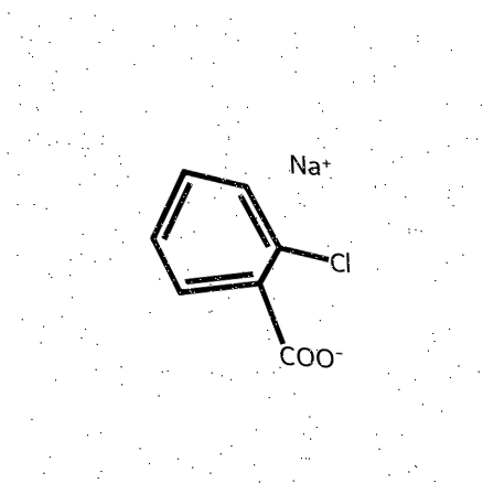 O=C([O-])c1ccccc1Cl.[Na+]